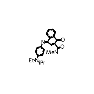 CCN(c1ccc(N=C2C=C(C(=O)NC)C(=O)c3ccccc32)cc1)C(C)C